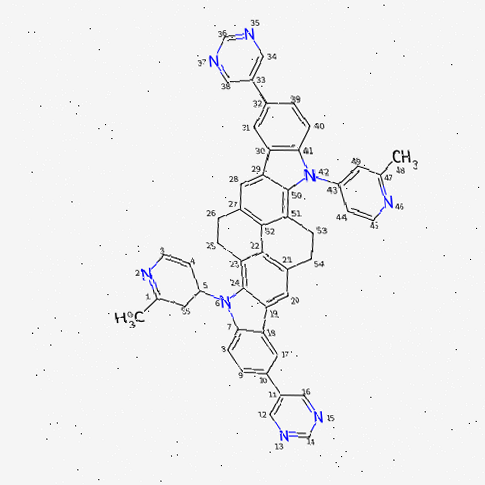 CC1=NC=CC(n2c3ccc(-c4cncnc4)cc3c3cc4c5c(c32)CCc2cc3c6cc(-c7cncnc7)ccc6n(-c6ccnc(C)c6)c3c(c2-5)CC4)C1